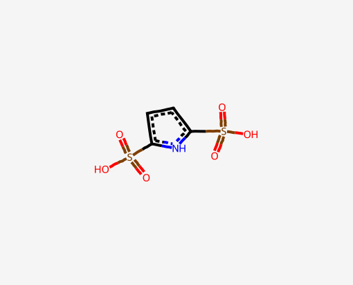 O=S(=O)(O)c1ccc(S(=O)(=O)O)[nH]1